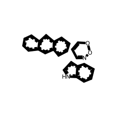 C1=COON=C1.c1ccc2[nH]ccc2c1.c1ccc2cc3ccccc3cc2c1